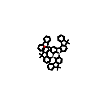 CC1(C)c2ccccc2-c2c(N3c4cc(-n5c6ccccc6c6ccccc65)cc5c4B(c4ccc6c(c4-5)-c4ccccc4C6(C)C)c4ccc5c(c43)-c3ccccc3C5(C)C)cccc21